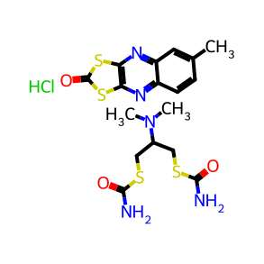 CN(C)C(CSC(N)=O)CSC(N)=O.Cc1ccc2nc3sc(=O)sc3nc2c1.Cl